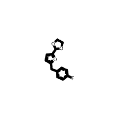 Fc1ccc(Cc2ccc(C3OCCO3)o2)cc1